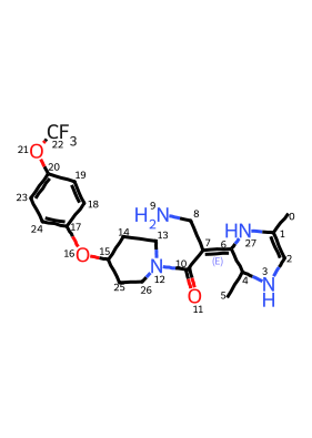 CC1=CNC(C)/C(=C(/CN)C(=O)N2CCC(Oc3ccc(OC(F)(F)F)cc3)CC2)N1